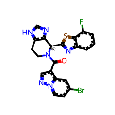 O=C(c1cnn2ccc(Br)cc12)N1CCc2[nH]cnc2[C@H]1c1nc2cccc(F)c2s1